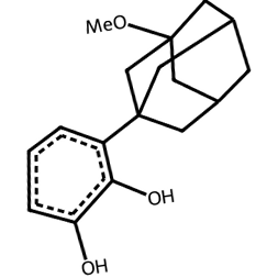 COC12CC3CC(C1)CC(c1cccc(O)c1O)(C3)C2